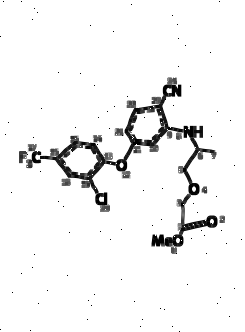 COC(=O)COCC(C)Nc1cc(Oc2ccc(C(F)(F)F)cc2Cl)ccc1C#N